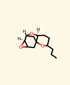 CCCC1CC[C@@H]2O[C@@H]3CC2(CC2O[C@H]23)O1